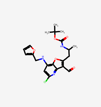 CC(Cc1oc2c(NCc3ccco3)cc(Cl)nc2c1C=O)NC(=O)OC(C)(C)C